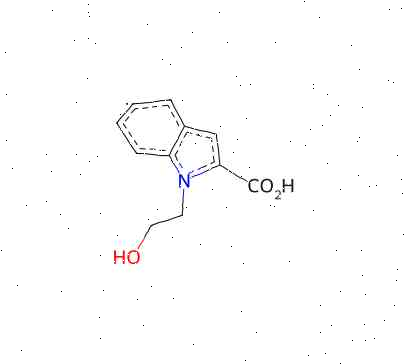 O=C(O)c1cc2c[c]ccc2n1CCO